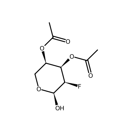 CC(=O)O[C@H]1[C@@H](F)[C@@H](O)OC[C@H]1OC(C)=O